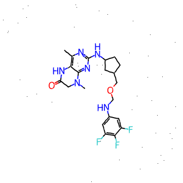 Cc1nc(NC2CCC(COCNc3cc(F)c(F)c(F)c3)C2)nc2c1NC(=O)CN2C